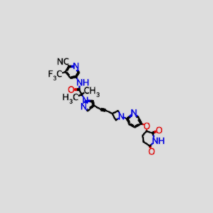 CC(C)(C(=O)Nc1cnc(C#N)c(C(F)(F)F)c1)n1cc(C#CC2CN(c3ccc(OC4CCC(=O)NC4=O)cn3)C2)cn1